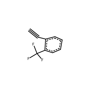 C#Cc1ccccc1C(F)(F)F